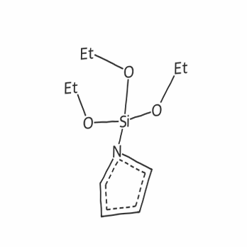 CCO[Si](OCC)(OCC)n1cccc1